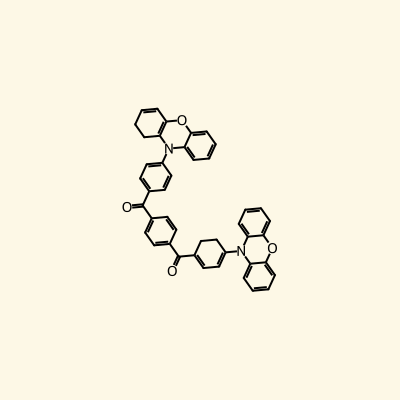 O=C(C1=CC=C(N2c3ccccc3Oc3ccccc32)CC1)c1ccc(C(=O)c2ccc(N3C4=C(C=CCC4)Oc4ccccc43)cc2)cc1